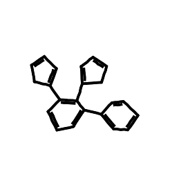 C1=CCC(c2cccc(-c3ccccc3)c2C2=CC=CC2)=C1